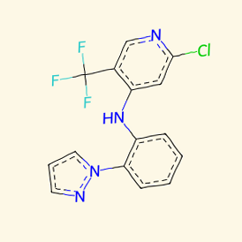 FC(F)(F)c1cnc(Cl)cc1Nc1ccccc1-n1cccn1